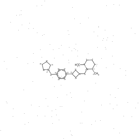 CC1CCCC(C)N1CC1CC(c2ccc(CN3CCCC3)cc2)C1